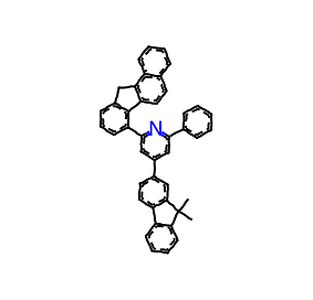 CC1(C)c2ccccc2-c2ccc(-c3cc(-c4ccccc4)nc(-c4cccc5c4-c4ccc6ccccc6c4C5)c3)cc21